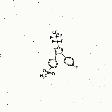 CS(=O)(=O)c1ccc(-n2nc(C(F)(F)C(F)(F)C(F)(F)F)cc2-c2ccc(F)cc2)cc1